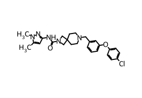 Cc1cc(NC(=O)N2CC3(CCN(Cc4cccc(Oc5ccc(Cl)cc5)c4)CC3)C2)nn1C